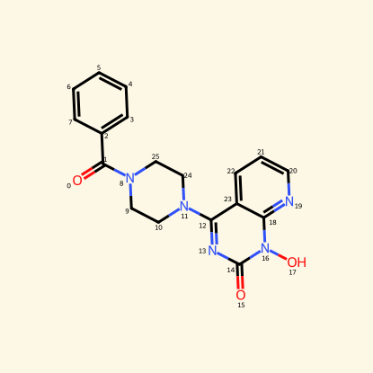 O=C(c1ccccc1)N1CCN(c2nc(=O)n(O)c3ncccc23)CC1